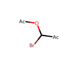 CC(=O)OC(Br)C(C)=O